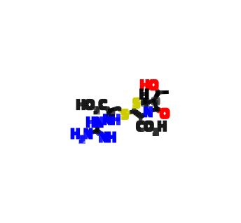 CC(O)[C@H]1C(=O)N2C(C(=O)O)=C(SC[C@@H](NNC(=N)N)C(=O)O)S[C@H]12